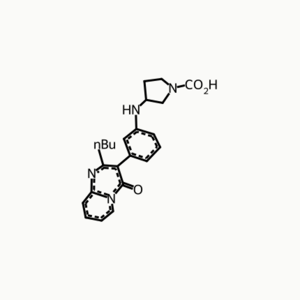 CCCCc1nc2ccccn2c(=O)c1-c1cccc(NC2CCN(C(=O)O)C2)c1